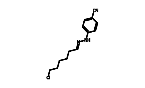 N#Cc1ccc(NN=CCCCCCCl)cc1